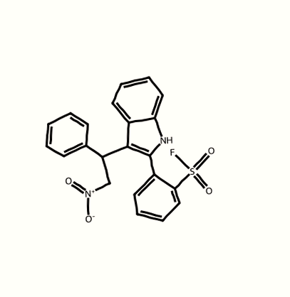 O=[N+]([O-])CC(c1ccccc1)c1c(-c2ccccc2S(=O)(=O)F)[nH]c2ccccc12